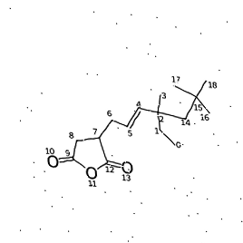 CCC(C)(/C=C/CC1CC(=O)OC1=O)CC(C)(C)C